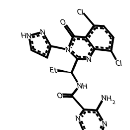 CC[C@H](NC(=O)c1nccnc1N)c1nc2c(Cl)ccc(Cl)c2c(=O)n1-c1cc[nH]n1